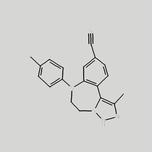 CC1=C2c3ccc(C#N)cc3N(c3ccc(Cl)cc3)CCN2NN1